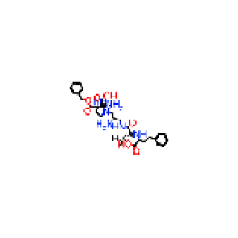 C[C@H](NC(CCc1ccccc1)C(=O)O)C(=O)NCC(N)CN1CCC(N)(C(=O)OCc2ccccc2)[C@@]1(N)C(=O)O